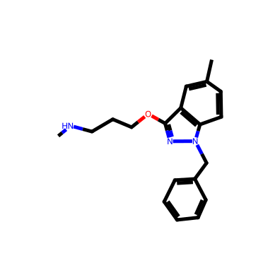 CNCCCOc1nn(Cc2ccccc2)c2ccc(C)cc12